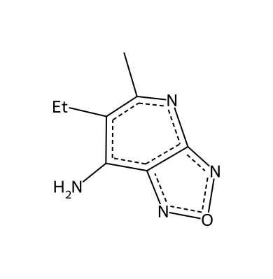 CCc1c(C)nc2nonc2c1N